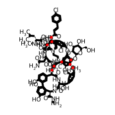 CN[C@H](CC(C)C)C(=O)N[C@H]1C(=O)N[C@@H](CC(N)=O)C(=O)N[C@H]2C(=O)N[C@H]3C(=O)N[C@H](C(=O)N[C@@H](C(=O)NN)c4cc(O)cc(O)c4-c4cc3ccc4O)[C@H](O)c3ccc(c(Cl)c3)Oc3cc2cc(c3O[C@@H]2O[C@H](CO)[C@@H](O)[C@H](O)[C@H]2O[C@H]2C[C@](C)(NCCn3ccc(NC(=O)/C=C/c4ccc(Cl)cc4)nc3=O)[C@H](O)[C@H](C)O2)Oc2ccc(cc2Cl)[C@H]1O